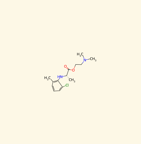 Cc1cccc(Cl)c1N[C@@H](C)C(=O)OCCN(C)C